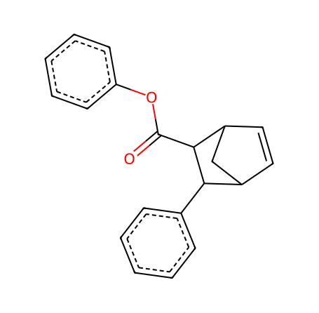 O=C(Oc1ccccc1)C1C2C=CC(C2)C1c1ccccc1